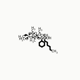 C=C[Si](O)(OC)O[Si](C)(C)O[Si](OC)(OC)O[Si](C)(C1CCCCC1)[Si](C)(O)CCCCCC